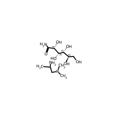 CC(N)CN(C)C.NC(=O)[C@H](O)[C@@H](O)[C@H](O)[C@H](O)CO